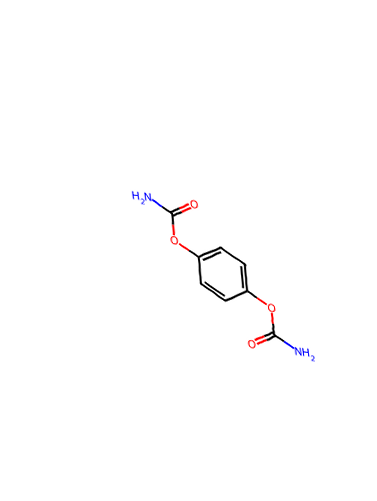 NC(=O)Oc1ccc(OC(N)=O)cc1